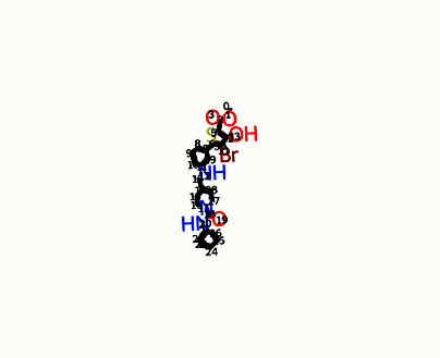 COC(=O)c1sc(-c2cccc(NCC3CCN(C(=O)Nc4ccccc4)CC3)c2)c(Br)c1O